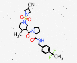 CC1CCN(S(=O)(=O)N2CC(C#N)C2)CC1C(=O)N1CCC[C@@H]1C(=O)NCc1ccc(C(C)(F)F)cc1